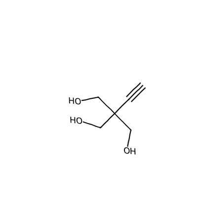 C#CC(CO)(CO)CO